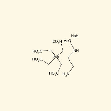 CC(=O)ONCCN.O=C(O)[CH2][Mn]([CH2]C(=O)O)([CH2]C(=O)O)[CH2]C(=O)O.[NaH]